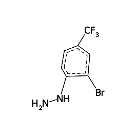 NNc1ccc(C(F)(F)F)cc1Br